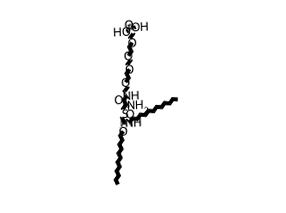 CCCCCCCCCCCCOC[C@H](CSC[C@H](N)C(=O)NCCOCCOCCOCCOCCP(=O)(O)O)NC(=O)CCCCCCCCCCC